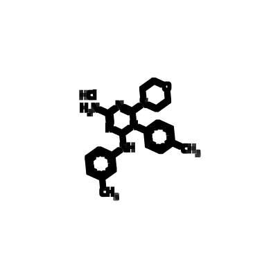 Cc1ccc(N2C(N3CCOCC3)=NC(N)=NC2Nc2cccc(C)c2)cc1.Cl